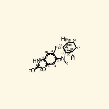 CN(c1cc2oc(=O)[nH]c2cc1F)[C@@H]1C[C@H]2CC[C@@H]1O2